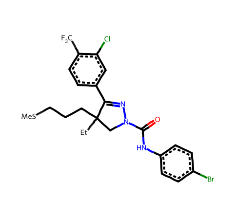 CCC1(CCCSC)CN(C(=O)Nc2ccc(Br)cc2)N=C1c1ccc(C(F)(F)F)c(Cl)c1